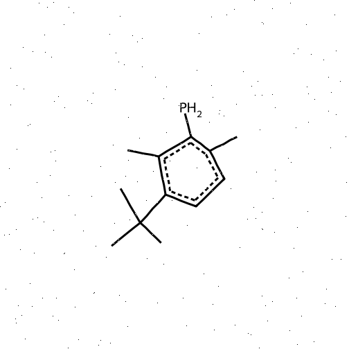 Cc1ccc(C(C)(C)C)c(C)c1P